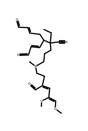 CCC(C#N)(CCCN(C)CC/C(C=O)=C/C(=C/OC)OC)C(/C=C/C=O)C/C=C/C=O